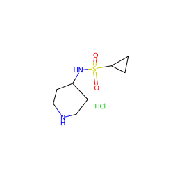 Cl.O=S(=O)(NC1CCNCC1)C1CC1